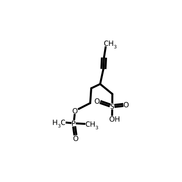 CC#CC(CCOP(C)(C)=O)CS(=O)(=O)O